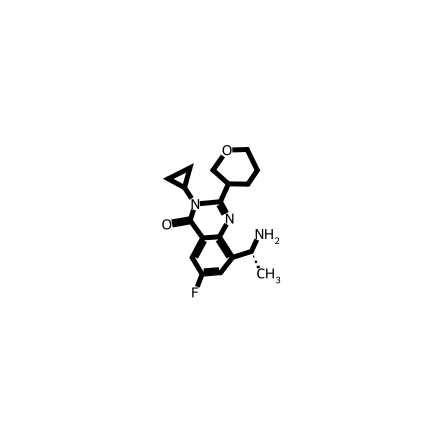 C[C@@H](N)c1cc(F)cc2c(=O)n(C3CC3)c(C3CCCOC3)nc12